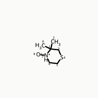 CC1(C)CSCC[NH+]1[O-]